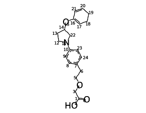 O=C(O)COCCc1ccc(N2CCC(OC3=CCCC=C3)C2)cc1